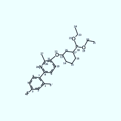 [CH2]c1cc(F)ccc1-c1ccc(OC2CCCC(P(OCC)OCC)C2)c(C)n1